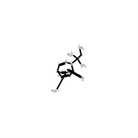 CCC(C)(C)N1N=CC2C=CC1C(=O)NC/C(C)=N/2